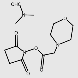 CN(C)C=O.O=C(CN1CCOCC1)ON1C(=O)CCC1=O